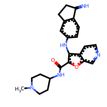 CN1CCC(NC(=O)c2oc3cnccc3c2Nc2ccc3c(c2)CCC3=N)CC1